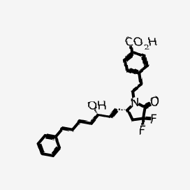 O=C(O)c1ccc(CCN2C(=O)C(F)(F)C[C@@H]2C=C[C@@H](O)CCCCc2ccccc2)cc1